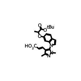 Cc1nn(C)c(-n2ccc3ccc(OC(C)C(=O)OC(C)(C)C)cc32)c1C=CC(=O)O